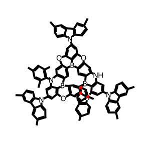 Cc1cc(C)c(N2c3cc4c(cc3B3c5cc(C)ccc5Oc5cc(-n6c7ccc(C)cc7c7cc(C)ccc76)cc2c53)B2c3cc5c(cc3Oc3cc(-n6c7ccc(C)cc7c7cc(C)ccc76)cc(c32)O4)Nc2cc(-n3c4ccc(C)cc4c4cc(C)ccc43)cc3c2B5c2cc(C)cc4c5cc(C)ccc5n-3c24)c(C)c1